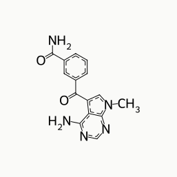 Cn1cc(C(=O)c2cccc(C(N)=O)c2)c2c(N)ncnc21